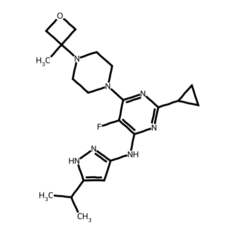 CC(C)c1cc(Nc2nc(C3CC3)nc(N3CCN(C4(C)COC4)CC3)c2F)n[nH]1